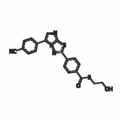 N#Cc1ccc(-c2cnc3sc(-c4ccc(C(=O)SCCO)cc4)nn23)cc1